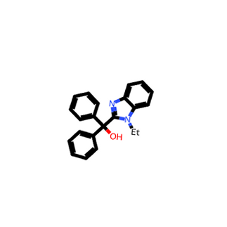 CCn1c(C(O)(c2ccccc2)c2ccccc2)nc2ccccc21